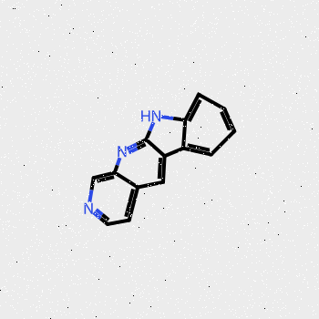 c1ccc2c(c1)[nH]c1nc3cnccc3cc12